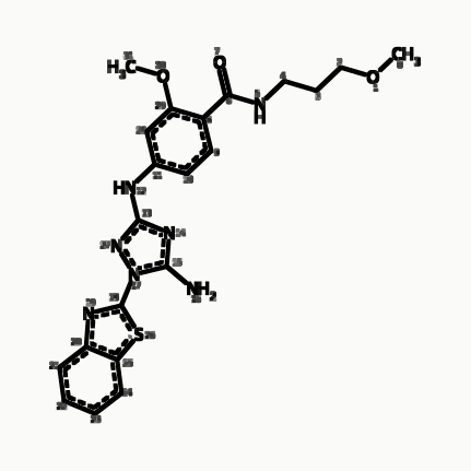 COCCCNC(=O)c1ccc(Nc2nc(N)n(-c3nc4ccccc4s3)n2)cc1OC